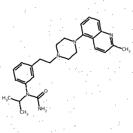 Cc1ccc2c(N3CCN(CCc4cccc(N(C(N)=O)C(C)C)c4)CC3)cccc2n1